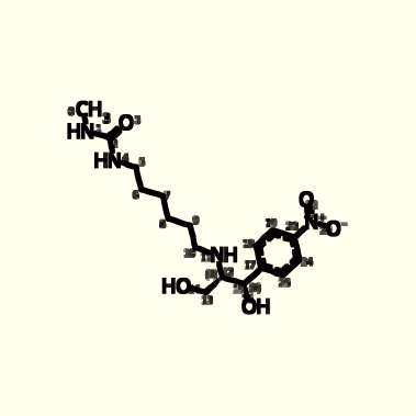 CNC(=O)NCCCCCCN[C@H](CO)[C@H](O)c1ccc([N+](=O)[O-])cc1